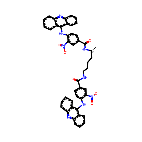 C[C@H](CCCCNC(=O)c1ccc(Nc2c3ccccc3nc3ccccc23)c([N+](=O)[O-])c1)NC(=O)c1ccc(Nc2c3ccccc3nc3ccccc23)c([N+](=O)[O-])c1